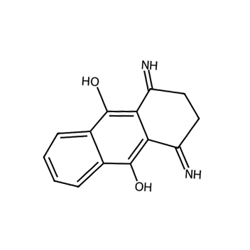 N=C1CCC(=N)c2c1c(O)c1ccccc1c2O